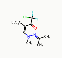 CCOC(=O)C(=CN(C)N=C(C)C)C(=O)C(F)(F)Cl